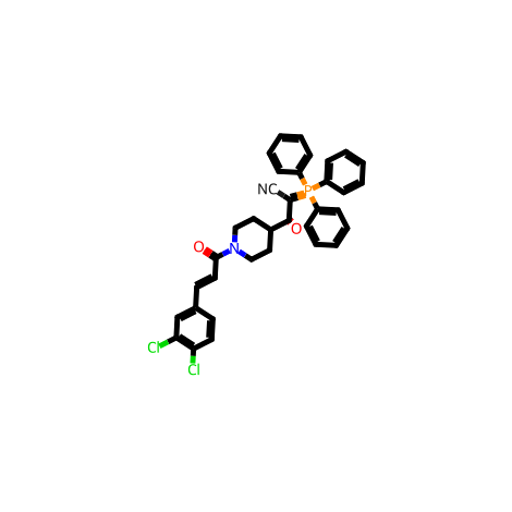 N#CC(C(=O)C1CCN(C(=O)/C=C/c2ccc(Cl)c(Cl)c2)CC1)=P(c1ccccc1)(c1ccccc1)c1ccccc1